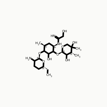 CC[C@@H]1CCC(N)[C@@H](OC2C(O)C(O[C@H]3OCC(C)(O)[C@H](C)C3O)[C@H](NC(=N)CO)C[C@@H]2C)O1